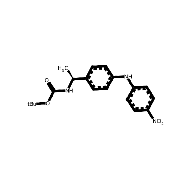 C[C@H](NC(=O)OC(C)(C)C)c1ccc(Nc2ccc([N+](=O)[O-])cc2)cc1